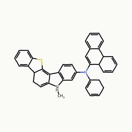 C[SiH]1C2=CCC3C(=C2c2ccc(N(C4=CC=CCC4)C4=Cc5ccccc5C5C=CC=CC45)cc21)Sc1ccccc13